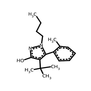 CCCCn1nc(O)c(C(C)(C)C)c1-c1ccccc1C